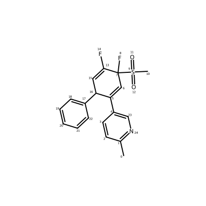 Cc1ccc(C2=CC(F)(S(C)(=O)=O)C(F)=CC2c2ccccc2)cn1